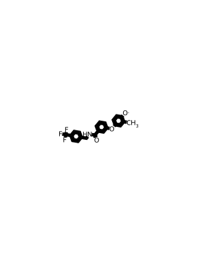 Cc1cc(Oc2cccc(C(=O)NCc3ccc(C(F)(F)F)cc3)c2)ccc1[O]